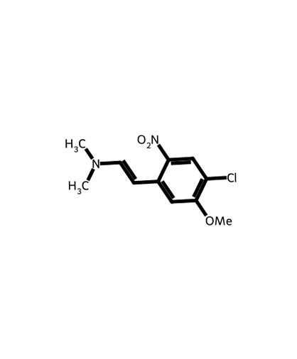 COc1cc(C=CN(C)C)c([N+](=O)[O-])cc1Cl